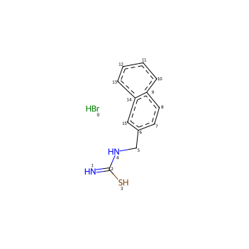 Br.N=C(S)NCc1ccc2ccccc2c1